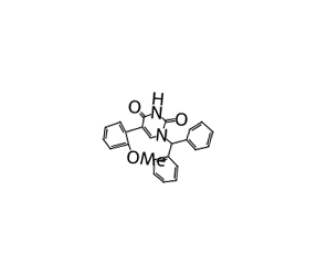 COc1ccccc1-c1cn(C(c2ccccc2)c2ccccc2)c(=O)[nH]c1=O